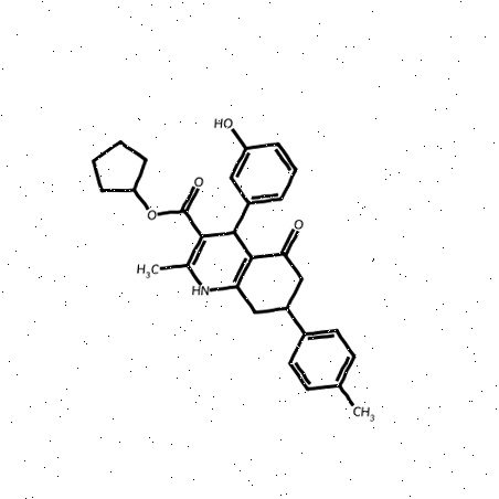 CC1=C(C(=O)OC2CCCC2)C(c2cccc(O)c2)C2=C(CC(c3ccc(C)cc3)CC2=O)N1